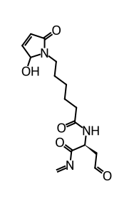 C=NC(=O)[C@H](CC=O)NC(=O)CCCCCN1C(=O)C=CC1O